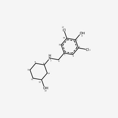 Oc1c(Cl)cc(CNC2CCCC(O)C2)cc1Cl